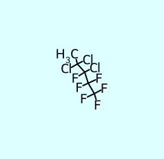 CC(Cl)(Cl)C(F)(Cl)C(F)(F)C(F)(F)F